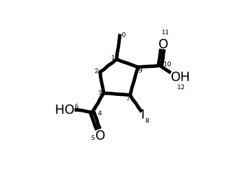 CC1CC(C(=O)O)C(I)C1C(=O)O